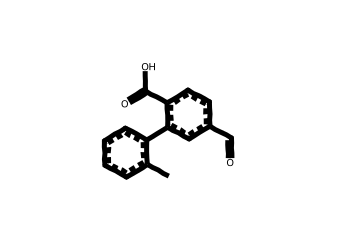 Cc1ccccc1-c1cc(C=O)ccc1C(=O)O